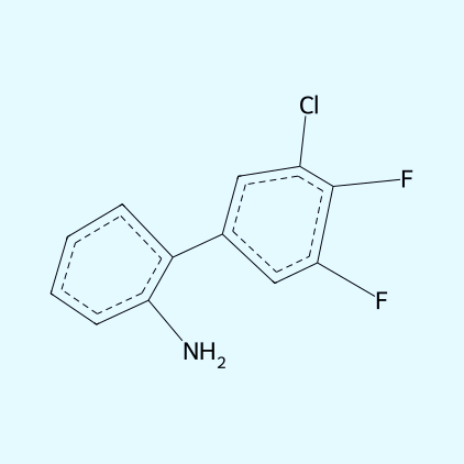 Nc1ccccc1-c1cc(F)c(F)c(Cl)c1